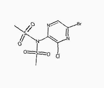 CS(=O)(=O)N(c1ncc(Br)nc1Cl)S(C)(=O)=O